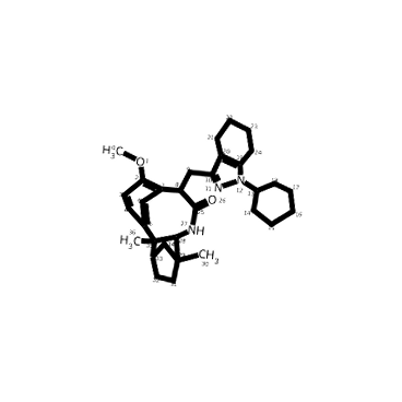 COc1ccc2cc1C(Cc1nn(C3CCCCC3)c3c1CCCC3)C(=O)NC1C3(C)CCC(C3)C21C